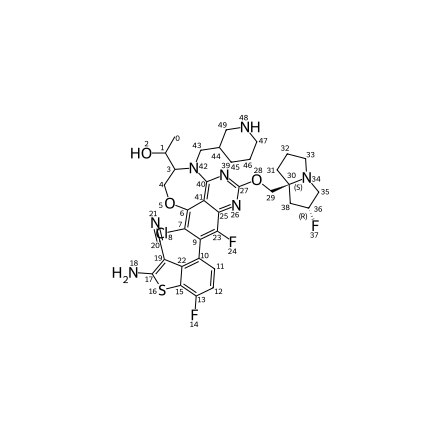 CC(O)C1COc2c(Cl)c(-c3ccc(F)c4sc(N)c(C#N)c34)c(F)c3nc(OC[C@@]45CCCN4C[C@H](F)C5)nc(c23)N1CC1CCCNC1